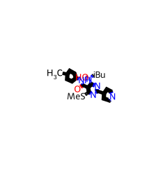 CCC(C)N(O)c1nc(-c2ccncc2)nc(SC)c1C(=O)Nc1ccc(C)cc1